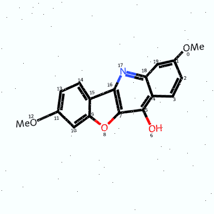 COc1ccc2c(O)c3oc4cc(OC)ccc4c3nc2c1